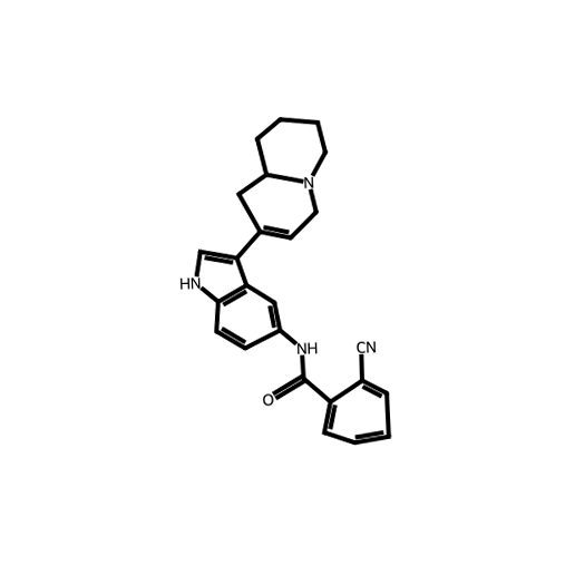 N#Cc1ccccc1C(=O)Nc1ccc2[nH]cc(C3=CCN4CCCCC4C3)c2c1